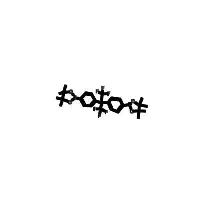 CC1(C)OB(c2ccc(C(c3ccc(B4OC(C)(C)C(C)(C)O4)cc3)(C(F)(F)F)C(F)(F)F)cc2)OC1(C)C